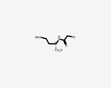 CSCC[C@H](NC(=O)CC(C)=O)C(=O)O